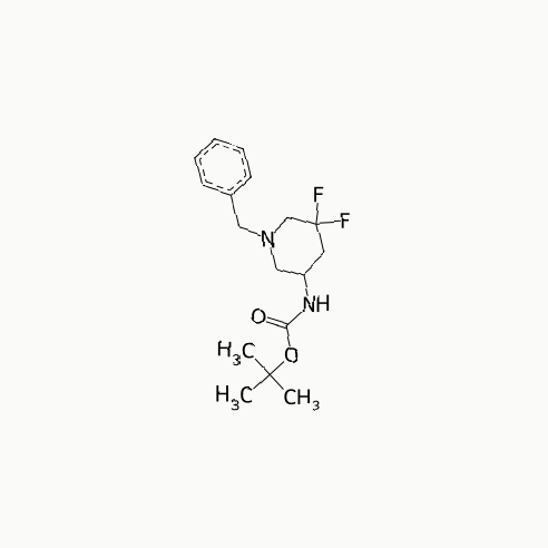 CC(C)(C)OC(=O)NC1CN(Cc2ccccc2)CC(F)(F)C1